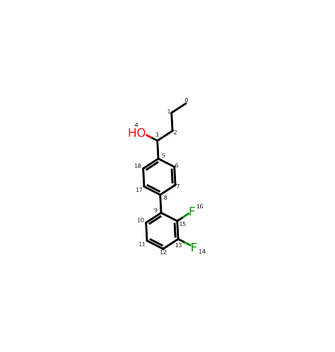 CCCC(O)c1ccc(-c2cccc(F)c2F)cc1